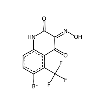 O=C1Nc2ccc(Br)c(C(F)(F)F)c2C(=O)C1=NO